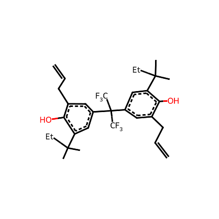 C=CCc1cc(C(c2cc(CC=C)c(O)c(C(C)(C)CC)c2)(C(F)(F)F)C(F)(F)F)cc(C(C)(C)CC)c1O